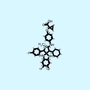 COC(c1ccc(F)cc1)C1(C(C(=O)Nc2ccc(OC3(C(=O)O)CC3)cc2)C2CCCCC2)Nc2cc(F)c(F)cc2N1